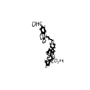 O=Cc1ccc2c(c1)oc(=O)n2CCCN1CCC2(CC1)CC(OC(C(=O)O)(c1cccs1)c1cccs1)C2